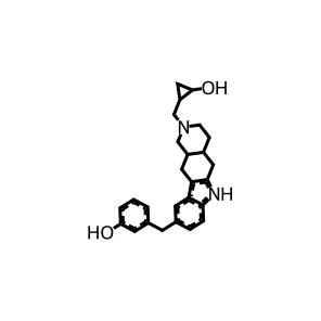 Oc1cccc(Cc2ccc3[nH]c4c(c3c2)CC2CN(CC3CC3O)CCC2C4)c1